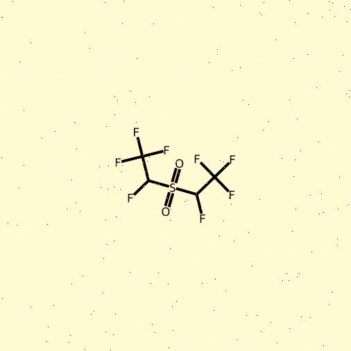 O=S(=O)(C(F)C(F)(F)F)C(F)C(F)(F)F